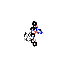 C[C@H](CC1CCCCC1)C(=O)N1CC[C@@](O)(CN2C=C(C(=O)N3CCNCC3)C(c3ccccc3)=CC2)C(C)(C)C1